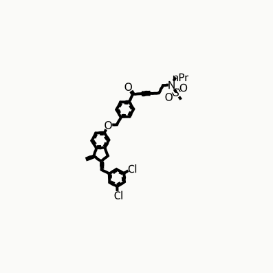 C=C1/C(=C/c2cc(Cl)cc(Cl)c2)Cc2cc(OCc3ccc(C(=O)C#CCCN(CCC)S(C)(=O)=O)cc3)ccc21